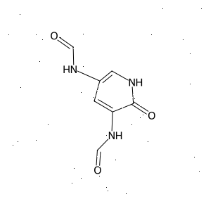 O=CNc1c[nH]c(=O)c(NC=O)c1